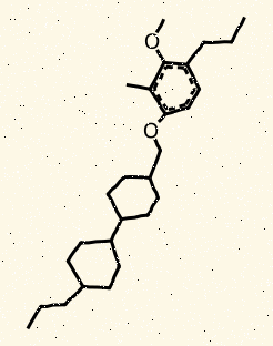 CCCc1ccc(OCC2CCC(C3CCC(CCC)CC3)CC2)c(C)c1OC